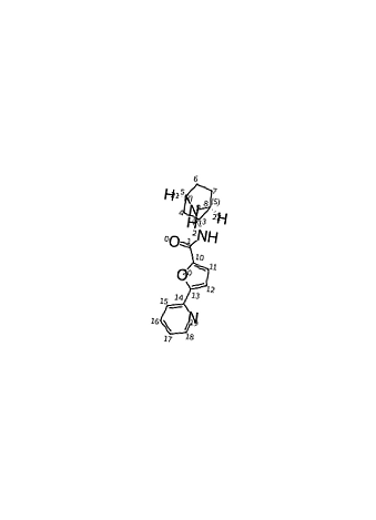 O=C(N[C@@H]1C[C@H]2CC[C@@H]1N2)c1ccc(-c2ccccn2)o1